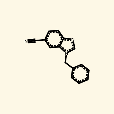 N#Cc1ccc2ncn(Cc3ccccc3)c2c1